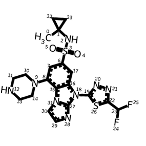 CC1(NS(=O)(=O)c2cc(N3CCNCC3)c3c(c2)n(-c2nnc(C(F)F)s2)c2nccn32)CC1